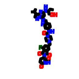 CCC(CO)Nc1cc(NCc2ccc(NC(=O)N3CCN(Cc4cc(F)c5c(c4)C(=O)N(C4CCC(=O)NC4=O)C5=O)CC3)cc2)n2ncc(C(C)C)c2n1